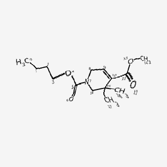 CCCCOC(=O)N1CC=C(C(=O)OC)C(C)(C)C1